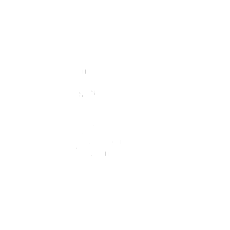 CC(c1ccc(CO)cc1)n1cc(B2OC(C)(C)C(C)(C)O2)cn1